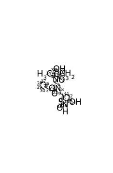 C=CC(=O)N(CCN(CCc1ccc(O)c2[nH]c(=O)sc12)C(=O)OCc1ccccc1)CC(C)(C)CO